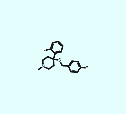 CN1CCC(SCc2ccc(F)cc2)(c2ccccc2F)CC1